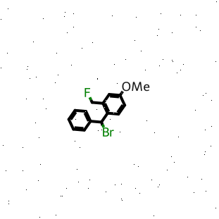 COc1ccc([C](Br)c2ccccc2)c(CF)c1